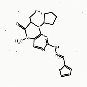 CCC1C(=O)N(C)c2cnc(N/N=C/c3cccs3)nc2N1C1CCCC1